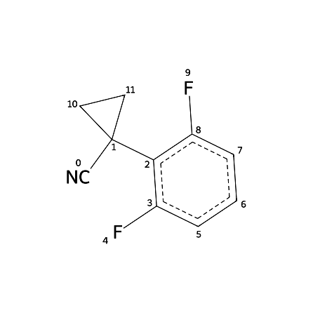 N#CC1(c2c(F)cccc2F)CC1